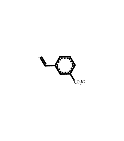 [CH]=Cc1cccc(C(=O)OCC)c1